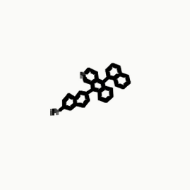 CC(C)c1ccc2cc(-c3c4ccccc4c(-c4cccc5ccccc45)c4ccncc34)ccc2c1